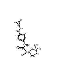 CC(C(=O)Nc1ccc(OCC2CC2)cn1)N1CCCC(F)(F)C1